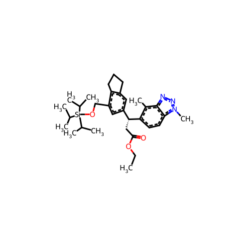 CCOC(=O)C[C@H](c1cc2c(c(CO[Si](C(C)C)(C(C)C)C(C)C)c1)CCC2)c1ccc2c(nnn2C)c1C